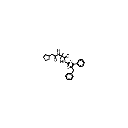 CC(C)(NC(=O)CC1CCCC1)C(=O)Nc1nc(-c2ccccc2)c(Cc2ccccc2)s1